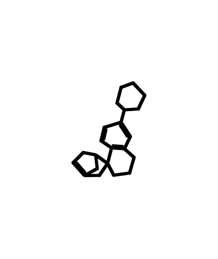 C1=C2CC(C1)C1(CCCc3cc(C4CCCCC4)ccc31)C2